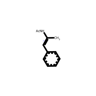 CC(=O)N/C(C)=C/c1ccccc1